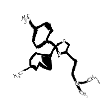 Cc1ccc(C2(c3ccc(C)cc3)OCC(CCN(C)C)O2)cc1